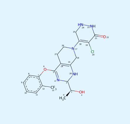 C[C@H](O)C1N=C(Oc2ccccc2C(F)(F)F)C2=C(CN(C3=C(Cl)C(=O)NNC3)CC2)N1